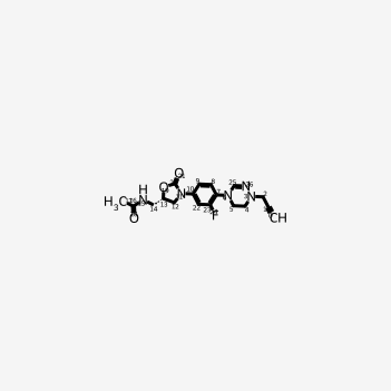 C#CCN1CCN(c2ccc(N3C[C@H](CNC(C)=O)OC3=O)cc2F)C=N1